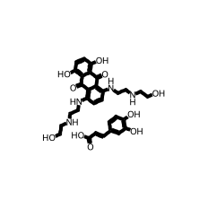 O=C(O)/C=C/c1ccc(O)c(O)c1.O=C1c2c(O)ccc(O)c2C(=O)c2c(NCCNCCO)ccc(NCCNCCO)c21